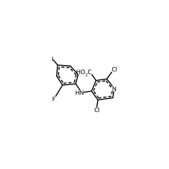 O=C(O)c1c(Cl)ncc(Cl)c1Nc1ccc(I)cc1F